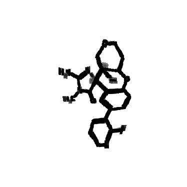 CN1C(=O)[C@]2(N=C1N)c1cc(-c3cccnc3F)ccc1OC1CCOC[C@H]12